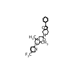 C[C@@H]1CN(c2ccc(C(F)(F)F)cn2)C[C@H](C)N1CC(=O)N1CCc2cc(-c3ccccc3)oc2C1